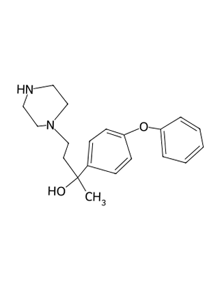 CC(O)(CCN1CCNCC1)c1ccc(Oc2ccccc2)cc1